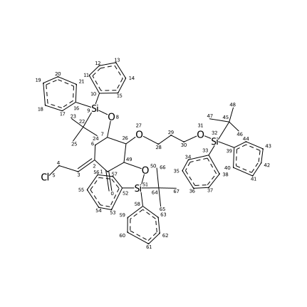 C=C1C(=CCCl)CC(O[Si](c2ccccc2)(c2ccccc2)C(C)(C)C)C(OCCCO[Si](c2ccccc2)(c2ccccc2)C(C)(C)C)C1O[Si](c1ccccc1)(c1ccccc1)C(C)(C)C